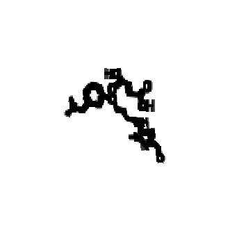 CN(C)Cc1cccc(OCCCNc2nc(C=O)nn2C)c1.O=C(O)/C=C/C(=O)O